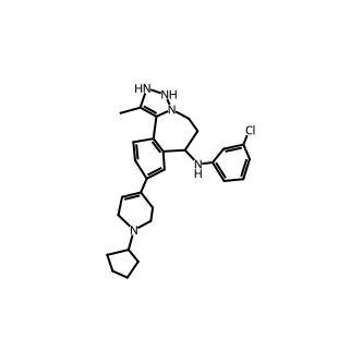 CC1=C2c3ccc(C4=CCN(C5CCCC5)CC4)cc3C(Nc3cccc(Cl)c3)CCN2NN1